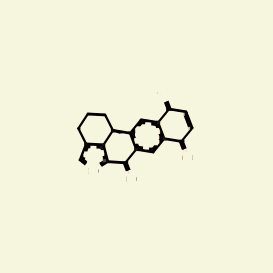 CC12CCCc3coc(c31)C(=O)c1cc3c(cc12)C(=O)C=CC3=O